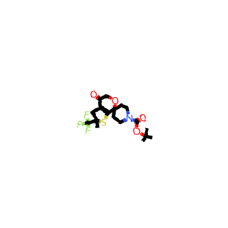 CC(C)(C)OC(=O)N1CCC2(CC1)OCC(=O)C1=C2SC(C)(C(F)(F)F)C1